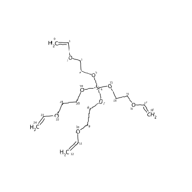 C=COCCO[Si](OCCOC=C)(OCCOC=C)OCCOC=C